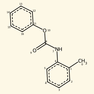 Cc1cc[c]cc1NC(=O)Oc1ccccc1